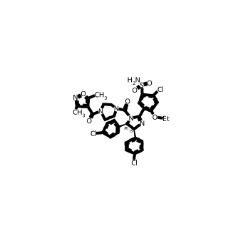 CCOc1cc(Cl)c(S(N)(=O)=O)cc1C1=N[C@@H](c2ccc(Cl)cc2)[C@@H](c2ccc(Cl)cc2)N1C(=O)N1CCN(C(=O)c2c(C)noc2C)CC1